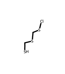 SCSCSCl